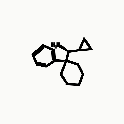 N[C@@H](C1CC1)[C@@]1(c2ccccc2)C[CH]CCC1